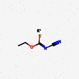 CCOC([S-])=NC#N.[K+]